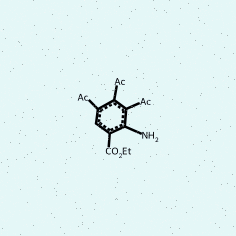 CCOC(=O)c1cc(C(C)=O)c(C(C)=O)c(C(C)=O)c1N